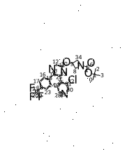 CC(C)(C)OC(=O)N1CC(Oc2cnc(-c3ccc(C(F)(F)F)cc3)c(-c3ccncc3Cl)n2)C1